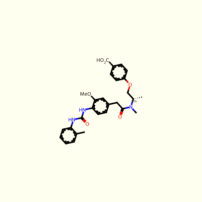 COc1cc(CC(=O)N(C)[C@@H](C)COc2ccc(C(=O)O)cc2)ccc1NC(=O)Nc1ccccc1C